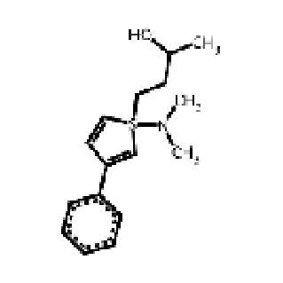 CC(O)CCS1(N(C)C)C=CC(c2ccccc2)=C1